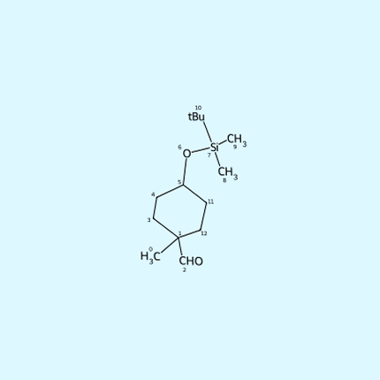 CC1(C=O)CCC(O[Si](C)(C)C(C)(C)C)CC1